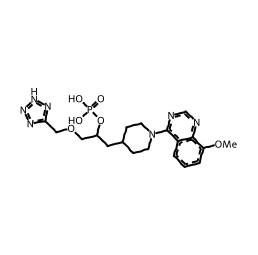 COc1cccc2c(N3CCC(CC(COCc4nn[nH]n4)OP(=O)(O)O)CC3)ncnc12